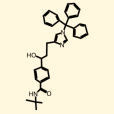 CC(C)(C)NC(=O)c1ccc(C(O)CCc2cn(C(c3ccccc3)(c3ccccc3)c3ccccc3)cn2)cc1